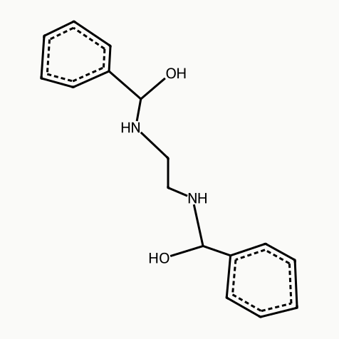 OC(NCCNC(O)c1ccccc1)c1ccccc1